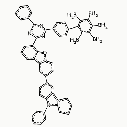 Bc1c(B)c(B)c(-c2ccc(-c3nc(-c4ccccc4)nc(-c4cccc5c4oc4ccc(-c6ccc7c(c6)c6ccccc6n7-c6ccccc6)cc45)n3)cc2)c(B)c1B